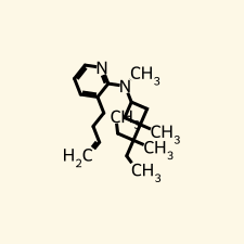 C=CCCc1cccnc1N(C)C1CC(C)(C(C)(CC)CC)C1